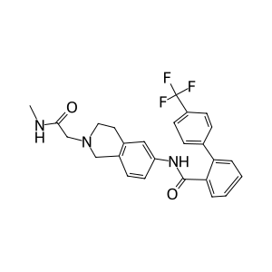 CNC(=O)CN1CCc2cc(NC(=O)c3ccccc3-c3ccc(C(F)(F)F)cc3)ccc2C1